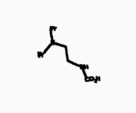 CC(C)N(CCNC(=O)O)C(C)C